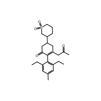 CCc1cc(C)cc(CC)c1C1=C(CC(C)=O)CC(C2CCCS(=O)(=O)C2)CC1=O